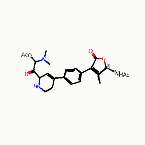 CC(=O)N[C@@H]1OC(=O)C(c2ccc(C3=CC(C(=O)C(OC(C)=O)N(C)C)NCC3)cc2)=C1C